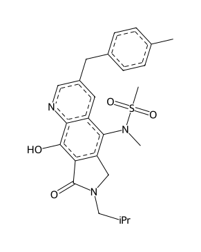 Cc1ccc(Cc2cnc3c(O)c4c(c(N(C)S(C)(=O)=O)c3c2)CN(CC(C)C)C4=O)cc1